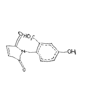 O=C(O)c1cc(O)ccc1N1C(=O)C=CC1=O